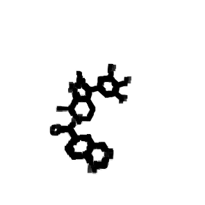 C[C@H]1c2nn(C)c(-c3cc(F)c(F)c(F)c3)c2CCN1C(=O)c1ccc2ncncc2c1